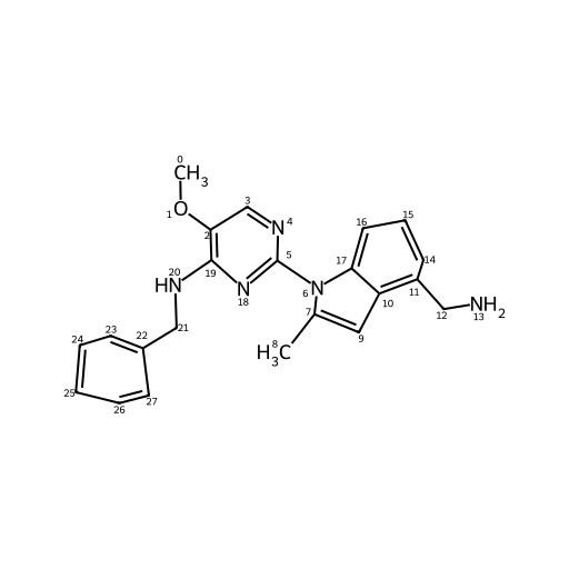 COc1cnc(-n2c(C)cc3c(CN)cccc32)nc1NCc1ccccc1